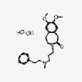 COc1cc2c(cc1OC)CC(=O)N(CCCN(C)CCc1ccccc1)CC2.Cl.Cl